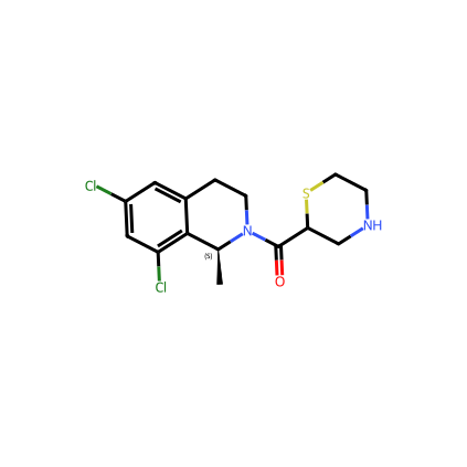 C[C@H]1c2c(Cl)cc(Cl)cc2CCN1C(=O)C1CNCCS1